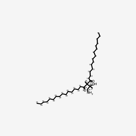 CCCCCCCCCCCCCCCC(=O)C(C)(C(=O)CCCCCCCCCCCCCCC)C(C)(O)CN